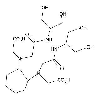 O=C(O)CN(CC(=O)NC(CO)CO)C1CCCCC1N(CC(=O)O)CC(=O)NC(CO)CO